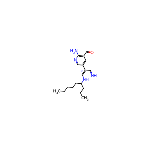 CCCCCC(CCC)N/C=C(\C=N)c1cnc(N)c(C=O)c1